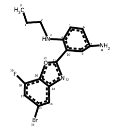 CCCNc1ccc(N)cc1-c1nc2cc(Br)cc(F)c2o1